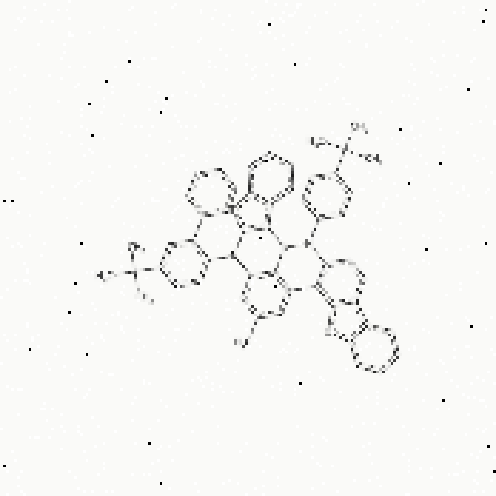 Cc1cc2c3c(c1)N(c1ccc(C(C)(C)C)cc1-c1ccccc1)c1sc4ccccc4c1B3N(c1ccc(C(C)(C)C)cc1)c1ccc3c(oc4ccccc43)c1-2